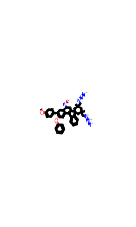 COc1ccc(-c2cc3c(N=O)cc4c(c3cc2Oc2ccccc2)-c2ccccc2C42CC(C)(CN=[N+]=[N-])CC(C)(CN=[N+]=[N-])C2)cc1